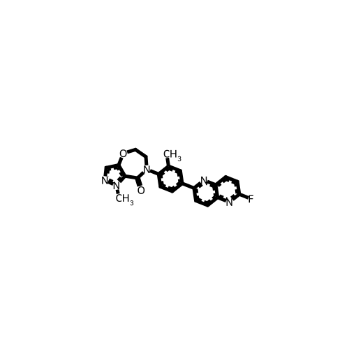 Cc1cc(-c2ccc3nc(F)ccc3n2)ccc1N1CCOc2cnn(C)c2C1=O